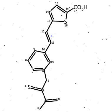 C=C(C)C(=S)Cc1cccc(/C=C/c2ccc(C(=O)O)s2)c1